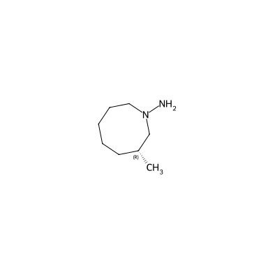 C[C@@H]1CCCCCN(N)C1